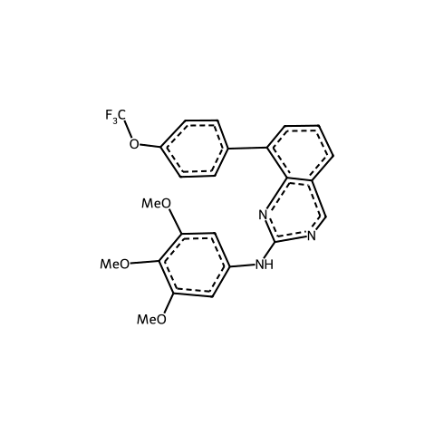 COc1cc(Nc2ncc3cccc(-c4ccc(OC(F)(F)F)cc4)c3n2)cc(OC)c1OC